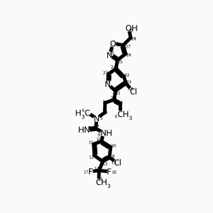 C/C=C(\CCN(C)C(=N)Nc1ccc(C(C)(F)F)c(Cl)c1)c1ncc(-c2cc(CO)on2)cc1Cl